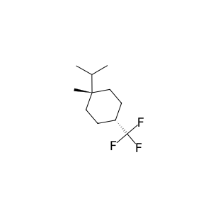 CC(C)[C@]1(C)CC[C@H](C(F)(F)F)CC1